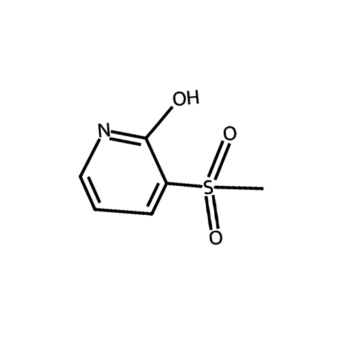 CS(=O)(=O)c1cccnc1O